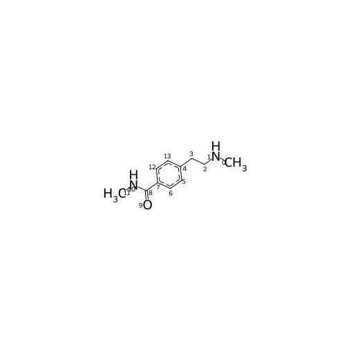 CNCCc1ccc(C(=O)NC)cc1